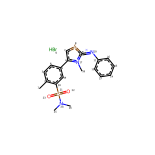 Br.Cc1ccc(-c2cs/c(=N/c3ccccc3)n2C)cc1S(=O)(=O)N(C)C